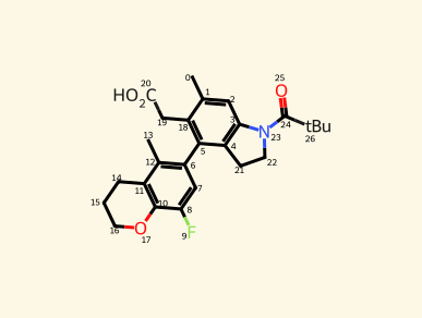 Cc1cc2c(c(-c3cc(F)c4c(c3C)CCCO4)c1CC(=O)O)CCN2C(=O)C(C)(C)C